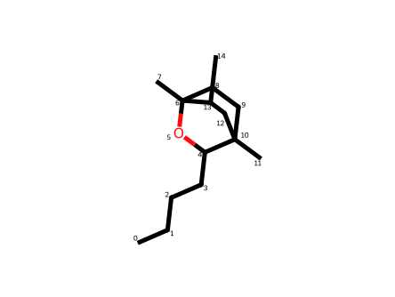 CCCCC1OC2(C)CCC1(C)CC2C